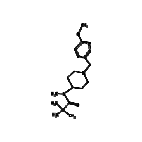 COc1ccc(CN2CCC(N(C)C(=O)C(C)(C)C)CC2)cc1